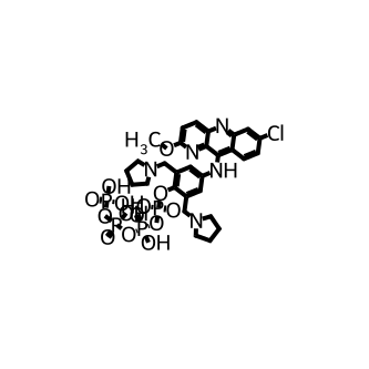 COc1ccc2nc3cc(Cl)ccc3c(Nc3cc(CN4CCCC4)c(OP(=O)(O)OP(=O)(O)OP(=O)(O)OP(=O)(O)O)c(CN4CCCC4)c3)c2n1